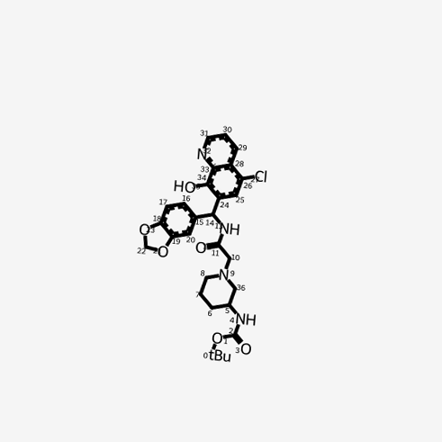 CC(C)(C)OC(=O)NC1CCCN(CC(=O)NC(c2ccc3c(c2)OCO3)c2cc(Cl)c3cccnc3c2O)C1